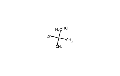 C[C](C)(C)[Zn].Cl